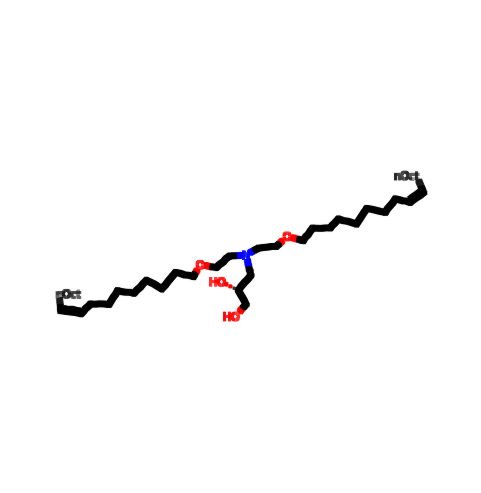 CCCCCCCC/C=C\CCCCCCCCOCCN(CCOCCCCCCCC/C=C\CCCCCCCC)C[C@@H](O)CO